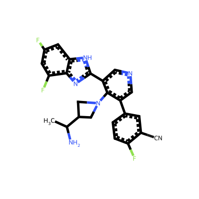 CC(N)C1CN(c2c(-c3ccc(F)c(C#N)c3)cncc2-c2nc3c(F)cc(F)cc3[nH]2)C1